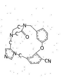 N#Cc1ccc2cc1Oc1cccc(c1)CN1CCN(CC1=O)Cc1cncn1C2